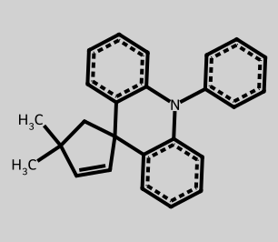 CC1(C)C=CC2(C1)c1ccccc1N(c1ccccc1)c1ccccc12